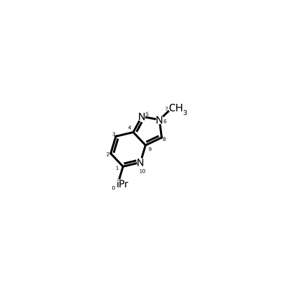 CC(C)c1ccc2nn(C)cc2n1